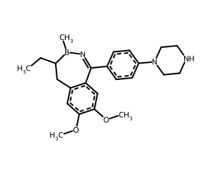 CCC1Cc2cc(OC)c(OC)cc2C(c2ccc(N3CCNCC3)cc2)=NB1C